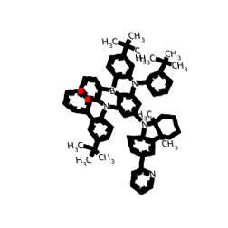 CC(C)(C)c1cccc(N2c3cc(C(C)(C)C)ccc3B3c4ccccc4N(c4ccc(C(C)(C)C)cc4-c4ccccc4)c4cc(N5c6ccc(-c7ccccn7)cc6C6(C)CCCCC56C)cc2c43)c1